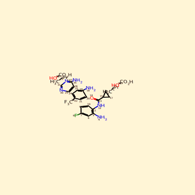 CC(C)C.CC(C)C.Nc1cc(F)ccc1NC(=O)C1CC1.Nc1ccc(C(F)(F)F)cc1.Nc1ccncn1.O=C(O)O.O=C(O)O